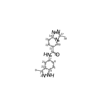 Cc1n[nH]c2ccc(NC(=O)c3ccc4nnc(C)n4c3)cc12